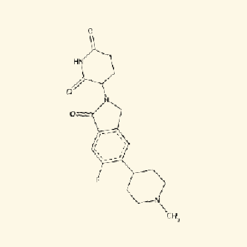 CN1CCC(c2cc3c(cc2F)C(=O)N(C2CCC(=O)NC2=O)C3)CC1